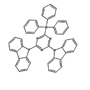 c1ccc([Si](c2ccccc2)(c2ccccc2)c2nc(-n3c4ccccc4c4ccccc43)nc(-n3c4ccccc4c4ccccc43)n2)cc1